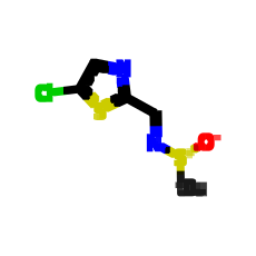 CC(C)(C)[S+]([O-])N=Cc1ncc(Cl)s1